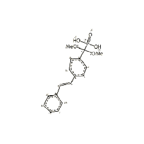 COC(OC)(c1ccc(C=Cc2ccccc2)cc1)P(=O)(O)O